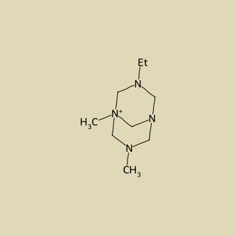 CCN1CN2CN(C)C[N+](C)(C1)C2